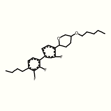 CCCCCOC1CCC(c2ccc(-c3ccc(CCCC)c(F)c3F)cc2F)OC1